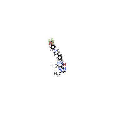 CCc1nn2c(C)ccnc2c1C(=O)NCc1ccc(C2CCN(c3ccc(OC(F)(F)F)cc3)CC2)cc1